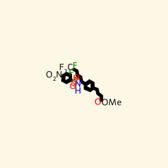 COC(=O)CCCc1ccc(C(CCCC(F)(F)C(F)(F)F)NS(=O)(=O)c2ccc([N+](=O)[O-])cc2)cc1